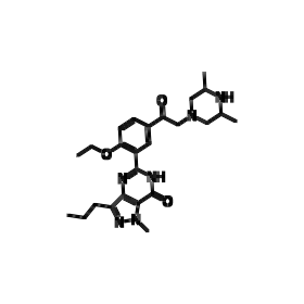 CCCc1nn(C)c2c(=O)[nH]c(-c3cc(C(=O)CN4CC(C)NC(C)C4)ccc3OCC)nc12